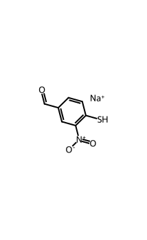 O=Cc1ccc(S)c([N+](=O)[O-])c1.[Na+]